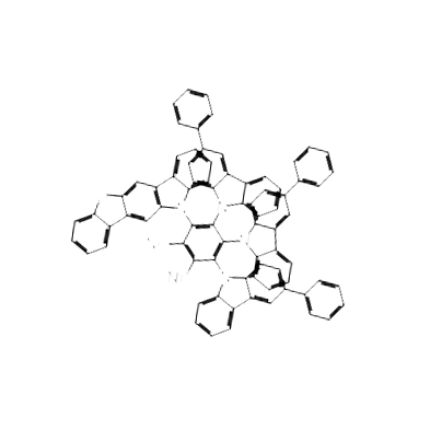 N#Cc1c(C#N)c(-n2c3ccccc3c3cc4oc5ccccc5c4cc32)c(-n2c3ccccc3c3cc(-c4ccccc4)ccc32)c(-n2c3ccccc3c3cc(-c4ccccc4)ccc32)c1-n1c2ccccc2c2cc(-c3ccccc3)ccc21